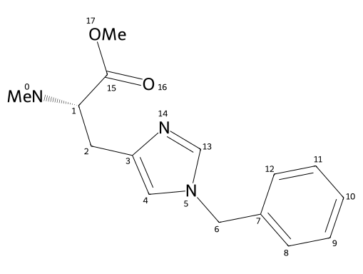 CN[C@@H](Cc1cn(Cc2ccccc2)cn1)C(=O)OC